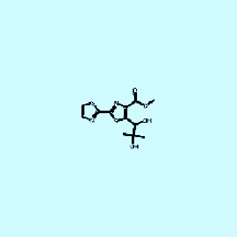 COC(=O)c1nc(-c2nccs2)sc1C(O)C(C)(C)O